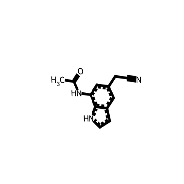 CC(=O)Nc1cc(CC#N)cc2cc[nH]c12